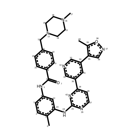 Cc1ccc(NC(=O)c2ccc(CN3CCN(C)CC3)cc2)cc1Nc1nccc(-c2cncc(-c3cnoc3C)c2)n1